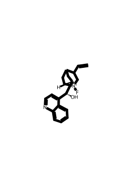 C=CC1C[N+]2(F)CCC1C[C@H]2[C@H](O)c1ccnc2ccccc12